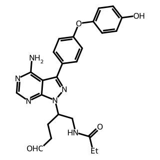 CCC(=O)NCC(CCC=O)n1nc(-c2ccc(Oc3ccc(O)cc3)cc2)c2c(N)ncnc21